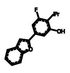 CC(C)c1c(O)cc(-c2cc3ccccc3o2)cc1F